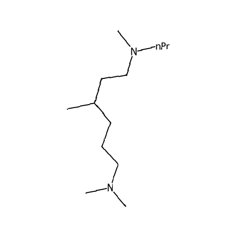 CCCN(C)CCC(C)CCCN(C)C